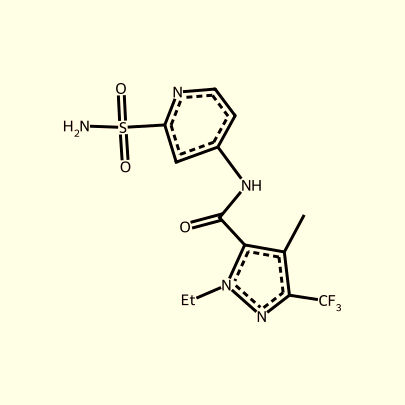 CCn1nc(C(F)(F)F)c(C)c1C(=O)Nc1ccnc(S(N)(=O)=O)c1